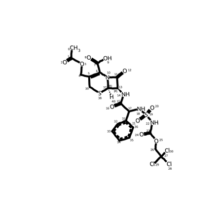 CC(=O)OCC1=C(C(=O)O)N2C(=O)[C@@H](NC(=O)C(NS(=O)(=O)NC(=O)OCC(Cl)(Cl)Cl)c3ccccc3)[C@H]2SC1